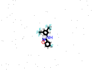 Fc1ccc2onc(Nc3cc(C(F)(F)F)cc(C(F)(F)F)c3)c2c1